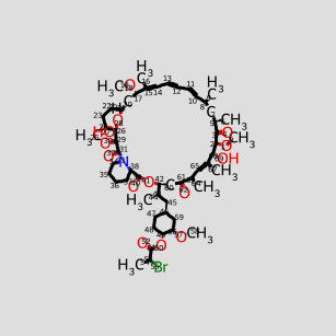 COC1C(=O)[C@H](C)CC(C)/C=C/C=C/C=C(\C)[C@@H](OC)C[C@@H]2CC[C@@H](C)[C@@](O)(O2)C(=O)C(=O)N2CCCCC2C(=O)O[C@H]([C@@H](C)C[C@@H]2CC[C@@H](OC(=O)C(C)Br)[C@H](OC)C2)CC(=O)C(C)/C=C(\C)[C@H]1O